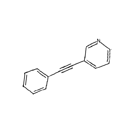 C(#Cc1cc[c]nc1)c1ccccc1